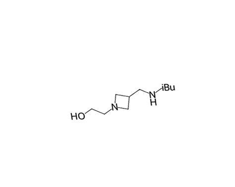 CCC(C)NCC1CN(CCO)C1